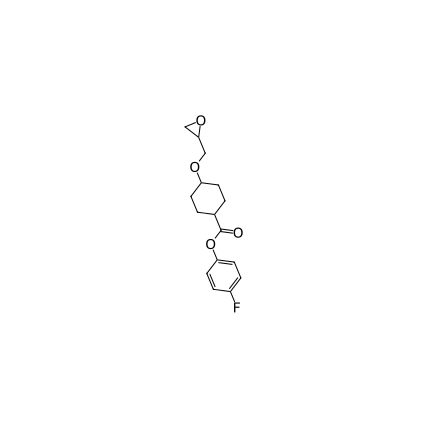 O=C(Oc1ccc(F)cc1)C1CCC(OCC2CO2)CC1